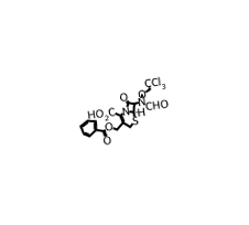 O=CN(OCC(Cl)(Cl)Cl)C1C(=O)N2C(C(=O)O)=C(COC(=O)c3ccccc3)CS[C@H]12